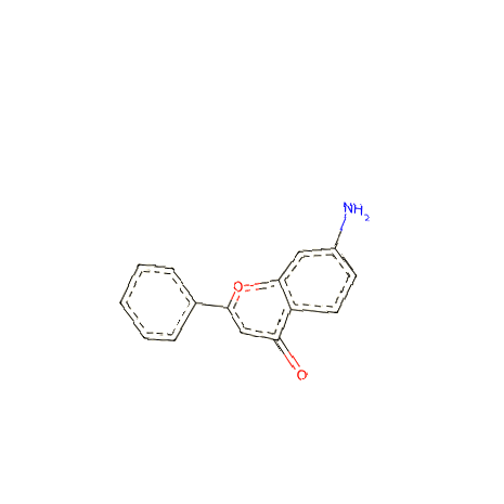 Nc1ccc2c(=O)cc(-c3ccccc3)oc2c1